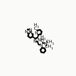 Cc1cccc(-c2[nH]c(CN(c3ccccc3)C(C)N(C)C)nc2-c2ccc3ncnn3c2)n1